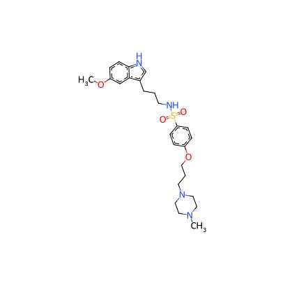 COc1ccc2[nH]cc(CCCNS(=O)(=O)c3ccc(OCCCN4CCN(C)CC4)cc3)c2c1